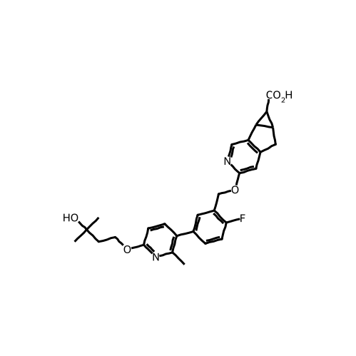 Cc1nc(OCCC(C)(C)O)ccc1-c1ccc(F)c(COc2cc3c(cn2)C2C(C3)C2C(=O)O)c1